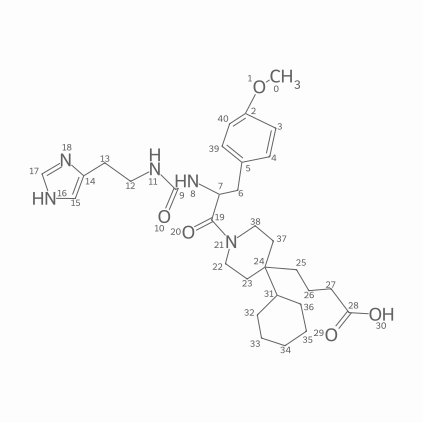 COc1ccc(CC(NC(=O)NCCc2c[nH]cn2)C(=O)N2CCC(CCCC(=O)O)(C3CCCCC3)CC2)cc1